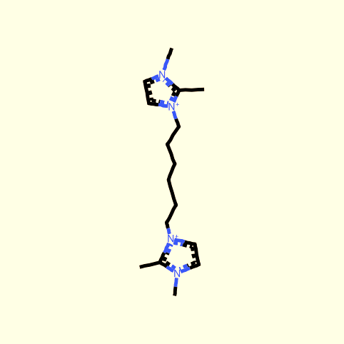 Cc1n(C)cc[n+]1CCCCCC[n+]1ccn(C)c1C